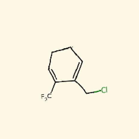 FC(F)(F)C1=CC[CH]C=C1CCl